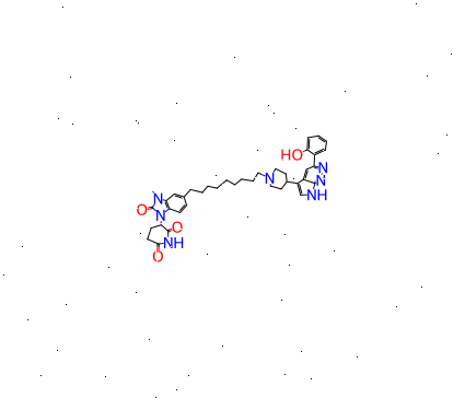 Cn1c(=O)n(C2CCC(=O)NC2=O)c2ccc(CCCCCCCCCN3CCC(c4c[nH]c5nnc(-c6ccccc6O)cc45)CC3)cc21